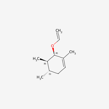 C=CO[C@H]1C(C)=CC[C@H](C)[C@H]1C